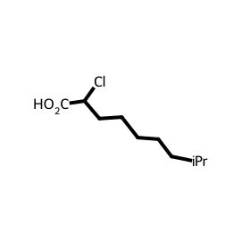 CC(C)CCCCCC(Cl)C(=O)O